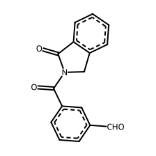 O=Cc1cccc(C(=O)N2Cc3ccccc3C2=O)c1